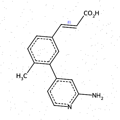 Cc1ccc(/C=C/C(=O)O)cc1-c1ccnc(N)c1